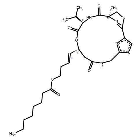 CCCCCCCC(=O)SCC/C=C/[C@H]1CC(=O)NCc2nc(cs2)C2=N[C@](C)(CS2)C(=O)N[C@H](C(C)C)C(=O)O1